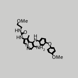 COCCNC(=O)Nc1cn2ncc(N)c(Nc3ccc(Oc4ccc(OC)cc4)cc3)c2c1C